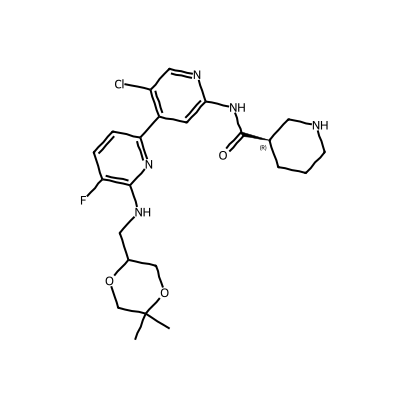 CC1(C)COC(CNc2nc(-c3cc(NC(=O)[C@@H]4CCCNC4)ncc3Cl)ccc2F)CO1